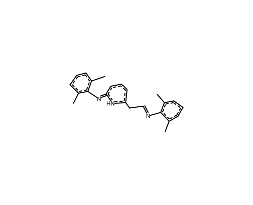 Cc1cccc(C)c1N=CCc1cccc(=Nc2c(C)cccc2C)[nH]1